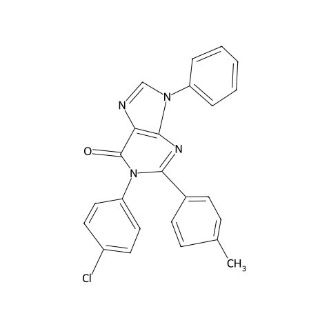 Cc1ccc(-c2nc3c(ncn3-c3ccccc3)c(=O)n2-c2ccc(Cl)cc2)cc1